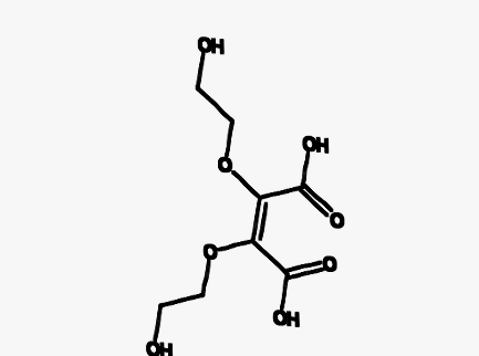 O=C(O)/C(OCCO)=C(/OCCO)C(=O)O